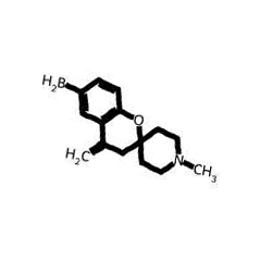 Bc1ccc2c(c1)C(=C)CC1(CCN(C)CC1)O2